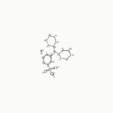 O=S(=O)([O-])c1cccc(P(C2CCCCC2)C2CCCCC2)c1.[K+]